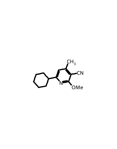 COc1nc(C2CCCCC2)cc(C)c1C#N